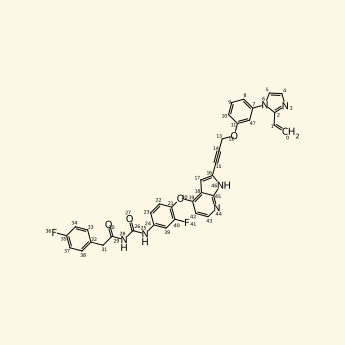 C=Cc1nccn1-c1cccc(OCC#Cc2cc3c(Oc4ccc(NC(=O)NC(=O)Cc5ccc(F)cc5)cc4F)ccnc3[nH]2)c1